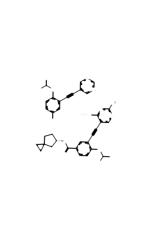 COc1nc(N)ncc1C#Cc1cc(C(=O)N[C@H]2CC3(CC3)C[C@@H]2O)ccc1OC(F)F.O=C(O)c1ccc(OC(F)F)c(C#Cc2cncnc2)c1